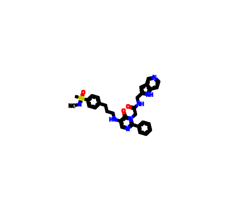 CS(=O)(=NC#N)c1ccc(CCCNc2cnc(-c3ccccc3)n(CC(=O)NCc3cc4cnccc4[nH]3)c2=O)cc1